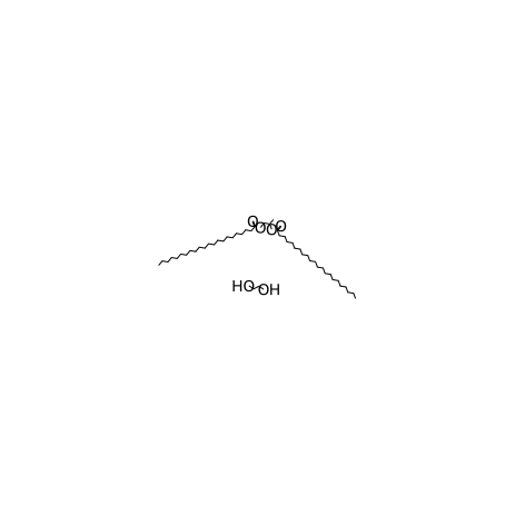 CCCCCCCCCCCCCCCCCCCCCC(=O)OCC(C)OC(=O)CCCCCCCCCCCCCCCCCCCCC.OCCO